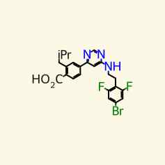 CC(C)Cc1cc(-c2cc(NCCc3c(F)cc(Br)cc3F)ncn2)ccc1C(=O)O